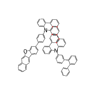 c1ccc(-c2ccccc2-c2cccc(N(c3cccc(-c4cccc(N(c5ccc(-c6ccc7c(c6)oc6cc8ccccc8cc67)cc5)c5ccccc5-c5ccccc5)c4)c3)c3ccccc3-c3ccccc3)c2)cc1